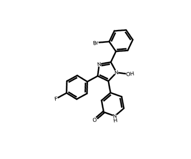 O=c1cc(-c2c(-c3ccc(F)cc3)nc(-c3ccccc3Br)n2O)cc[nH]1